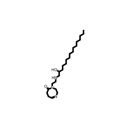 CCCCCCCCCCCCCCC(O)CNCCN1CCN=CCCC1=O